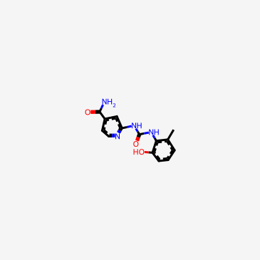 Cc1cccc(O)c1NC(=O)Nc1cc(C(N)=O)ccn1